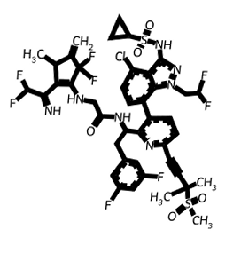 C=C1C(C)C(C(=N)C(F)F)=C(NCC(=O)NC(Cc2cc(F)cc(F)c2)c2nc(C#CC(C)(C)S(C)(=O)=O)ccc2-c2ccc(Cl)c3c(NS(=O)(=O)C4CC4)nn(CC(F)F)c23)C1(F)F